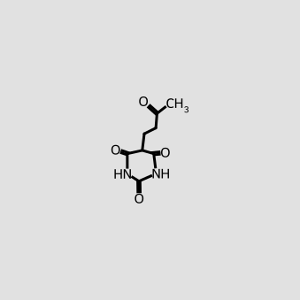 CC(=O)CCC1C(=O)NC(=O)NC1=O